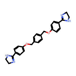 c1cc(COc2ccc(C3=NCCN3)cc2)ccc1COc1ccc(C2=NCCN2)cc1